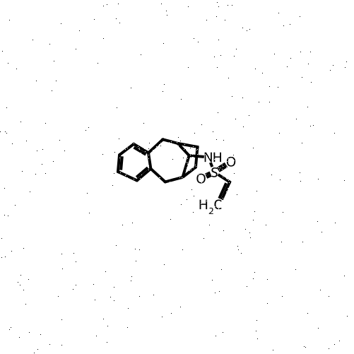 C=CS(=O)(=O)NC1C2CCC1Cc1ccccc1C2